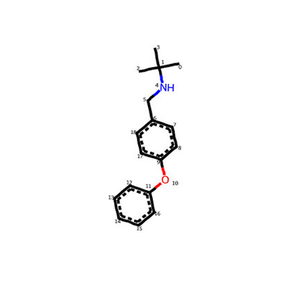 CC(C)(C)NCc1ccc(Oc2ccccc2)cc1